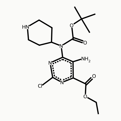 CCOC(=O)c1nc(Cl)nc(N(C(=O)OC(C)(C)C)C2CCNCC2)c1N